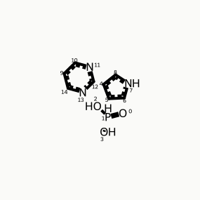 O=[PH](O)O.c1cc[nH]c1.c1cncnc1